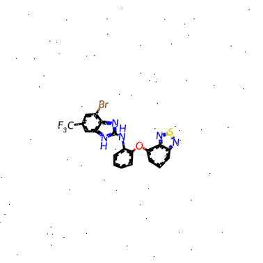 FC(F)(F)c1cc(Br)c2nc(Nc3ccccc3Oc3cccc4nsnc34)[nH]c2c1